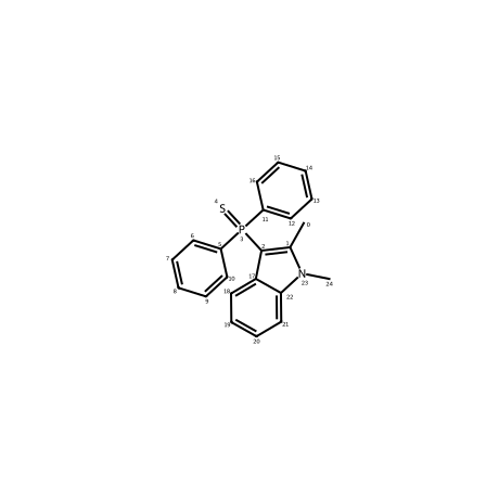 Cc1c(P(=S)(c2ccccc2)c2ccccc2)c2ccccc2n1C